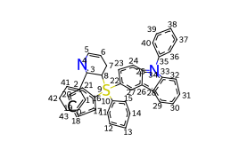 C1=CC(C2=NC=CCC2S(c2ccccc2)(c2ccccc2)c2ccc3c(c2)c2ccccc2n3-c2ccccc2)=CCC1